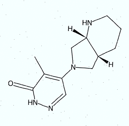 Cc1c(N2C[C@H]3CCCN[C@H]3C2)cn[nH]c1=O